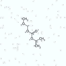 C=C(C)OC(=O)OCOC